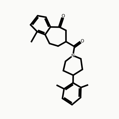 Cc1cccc2c1CCC(C(=O)N1CCC(c3c(C)cccc3C)CC1)CC2=O